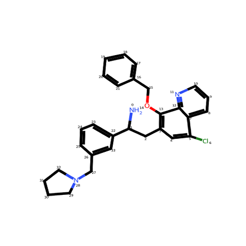 NC(Cc1cc(Cl)c2cccnc2c1OCc1ccccc1)c1cccc(CN2CCCC2)c1